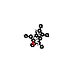 N#Cc1cc(-n2c3ccc(-c4ccccc4)cc3c3cc(-c4ccccc4)ccc32)c2oc3c(-c4cc(-c5ccccc5)nc(-c5ccccc5)n4)cccc3c2c1-n1c2ccc(-c3ccccc3)cc2c2cc(-c3ccccc3)ccc21